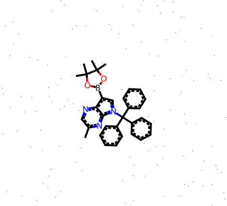 Cc1cnc2c(B3OC(C)(C)C(C)(C)O3)cn(C(c3ccccc3)(c3ccccc3)c3ccccc3)c2n1